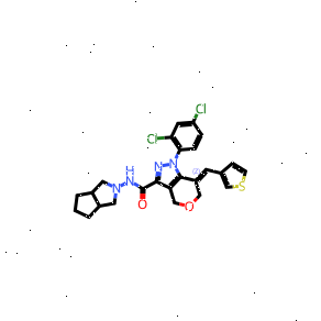 O=C(NN1CC2CCCC2C1)c1nn(-c2ccc(Cl)cc2Cl)c2c1COC/C2=C\c1ccsc1